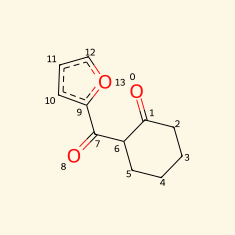 O=C1CCCCC1C(=O)c1ccco1